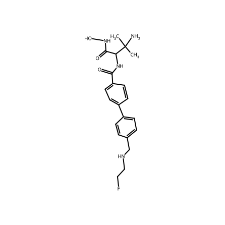 CC(C)(N)C(NC(=O)c1ccc(-c2ccc(CNCCF)cc2)cc1)C(=O)NO